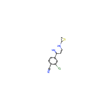 N#Cc1ccc(C(=N)/C=C\NC2CS2)cc1Cl